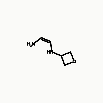 N/C=C\NC1COC1